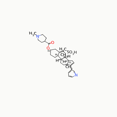 CN1CCC(C(=O)O[C@H]2CC[C@@]3(C)C(=CC[C@@H]4[C@@H]3CC[C@]3(C)C(c5cccnc5)=CC[C@@H]43)C2)CC1.CS(=O)(=O)O